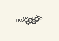 CC[C@]12CC[C@H]3[C@@H](CCC4=CC(=O)C(C)(C)C[C@@H]43)[C@@H]1CC[C@@H]2C(=O)CO